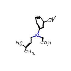 CC(C)=CCN(CC(=O)O)c1cccc(C#N)c1